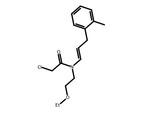 CCOCCN(C=CCc1ccccc1C)C(=O)CCl